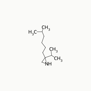 CC(C)CCCCC1(C(C)C)CN1